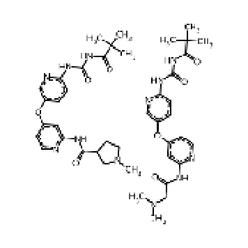 CN(C)CC(=O)Nc1cc(Oc2ccc(NC(=O)NC(=O)C(C)(C)C)nc2)ccn1.CN1CCC(C(=O)Nc2cc(Oc3ccc(NC(=O)NC(=O)C(C)(C)C)nc3)ccn2)C1